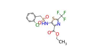 CCOC(=O)c1nc(C(F)(F)F)sc1NS(=O)(=O)Cc1ccccc1Cl